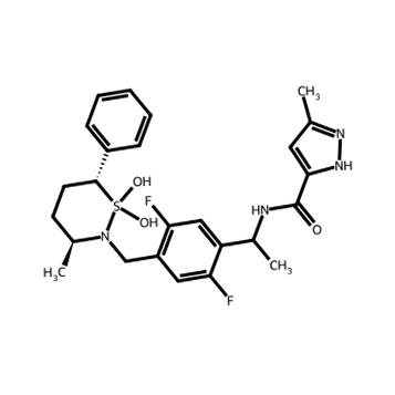 Cc1cc(C(=O)NC(C)c2cc(F)c(CN3[C@@H](C)CC[C@H](c4ccccc4)S3(O)O)cc2F)[nH]n1